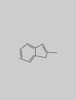 CC1=Cc2cc[c]cc2C1